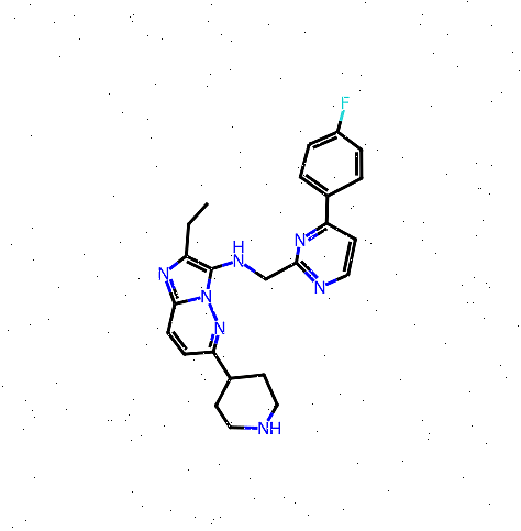 CCc1nc2ccc(C3CCNCC3)nn2c1NCc1nccc(-c2ccc(F)cc2)n1